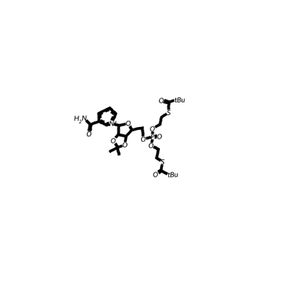 CC1(C)OC2C(COP(=O)(OCCSC(=O)C(C)(C)C)OCCSC(=O)C(C)(C)C)OC([n+]3cccc(C(N)=O)c3)C2O1